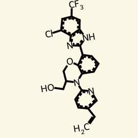 C=Cc1ccc(N2c3cccc(-c4nc5c(Cl)cc(C(F)(F)F)cc5[nH]4)c3OCC2CO)nc1